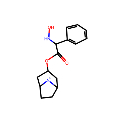 CN1C2[C]C(OC(=O)C(NO)c3ccccc3)CC1CC2